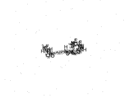 Cc1nc(NC(=O)c2ccccc2NC(=O)CCCCCCCCNC(=O)CN2CCN(Cc3ccc(Nc4ncc(F)c(-c5cc(F)c6nc(C)n(C(C)C)c6c5)n4)nc3)CC2)sc1C